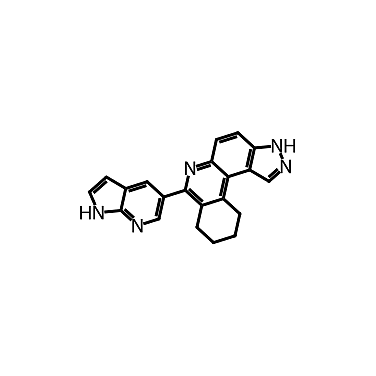 c1cc2cc(-c3nc4ccc5[nH]ncc5c4c4c3CCCC4)cnc2[nH]1